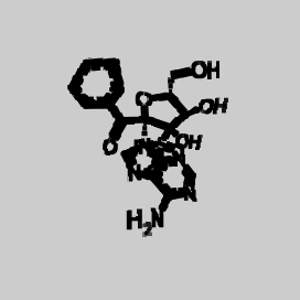 Nc1ncnc2c1ncn2[C@]1(C(=O)c2ccccc2)O[C@H](CO)[C@@H](O)[C@]1(O)S(=O)(=O)F